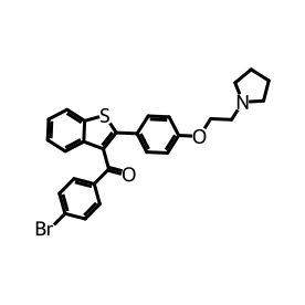 O=C(c1ccc(Br)cc1)c1c(-c2ccc(OCCN3CCCC3)cc2)sc2ccccc12